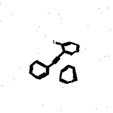 Fc1ccccc1C#Cc1ccccc1.c1ccccc1